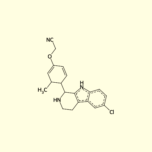 CC1C=C(OCC#N)C=CC1C1NCCc2c1[nH]c1ccc(Cl)cc21